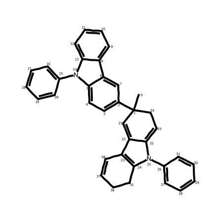 CC1(c2ccc3c(c2)c2ccccc2n3-c2ccccc2)C=c2c3c(n(-c4ccccc4)c2=CC1)CCC=C3